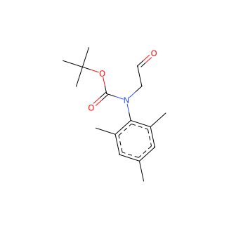 Cc1cc(C)c(N(CC=O)C(=O)OC(C)(C)C)c(C)c1